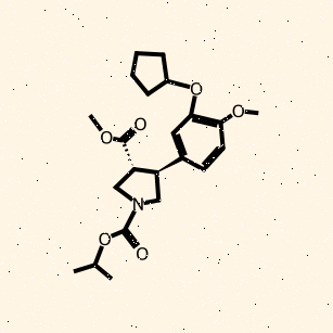 COC(=O)[C@H]1CN(C(=O)OC(C)C)C[C@@H]1c1ccc(OC)c(OC2CCCC2)c1